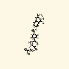 Nc1nc2ncc(CNc3ccc(C(=O)N[C@@H](CC(=O)C(=O)O)C(=O)O)cc3)nc2c(=O)[nH]1